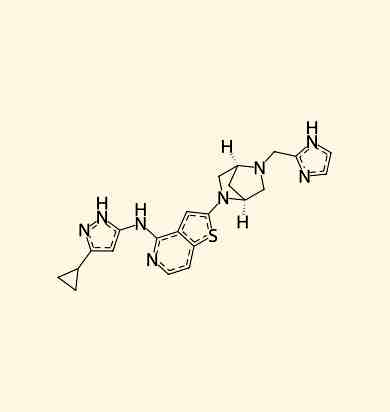 c1c[nH]c(CN2C[C@@H]3C[C@H]2CN3c2cc3c(Nc4cc(C5CC5)n[nH]4)nccc3s2)n1